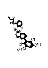 C=CC(=O)Nc1cccc(F)c1Nc1ncc2cc(-c3c(Cl)c(OC)cc(OC)c3Cl)ccc2n1